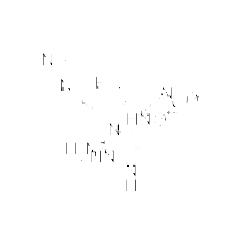 CN1CCN(c2ccc(C3(N)N=C(Nc4cccc5c4N(S(C)(=O)=O)CC5)c4cc[nH]c4N3)cc2F)CC1